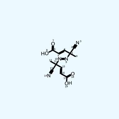 CC(C#N)(C=CC(=O)O)N=NC(C)(C#N)C=CC(=O)O